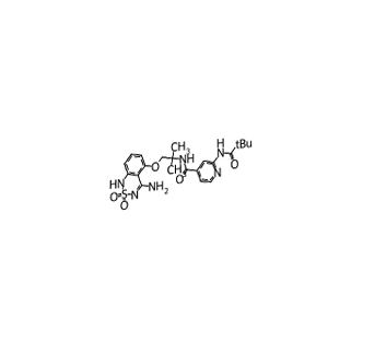 CC(C)(COc1cccc2c1C(N)=NS(=O)(=O)N2)NC(=O)c1ccnc(NC(=O)C(C)(C)C)c1